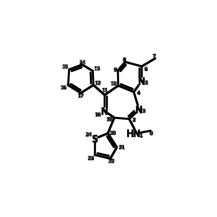 CNC1=Nc2nc(C)ccc2C(c2ccccc2)=NC1c1cccs1